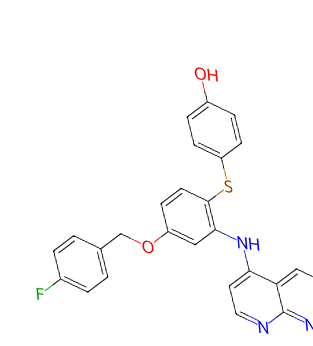 Oc1ccc(Sc2ccc(OCc3ccc(F)cc3)cc2Nc2ccnc3ncccc23)cc1